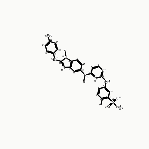 Cc1ccc(Nc2nccc(N(C)c3ccc4c(c3)nc(Nc3ccc(C(C)(C)C)cc3)n4C)n2)cc1S(N)(=O)=O